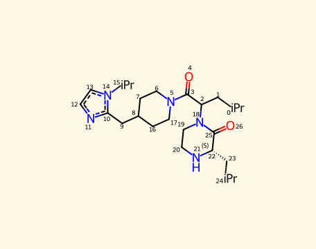 CC(C)CC(C(=O)N1CCC(Cc2nccn2C(C)C)CC1)N1CCN[C@@H](CC(C)C)C1=O